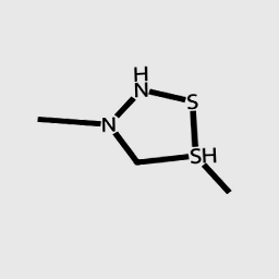 CN1C[SH](C)SN1